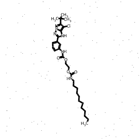 CCCCCCCCCCCCNC(=O)OCCOC(=O)Nc1cccc(-c2nn3nc(C(C)(C)C)c(Cl)c3[nH]2)c1